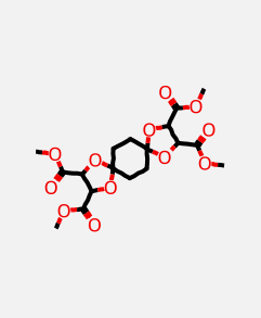 COC(=O)C1OC2(CCC3(CC2)OC(C(=O)OC)C(C(=O)OC)O3)OC1C(=O)OC